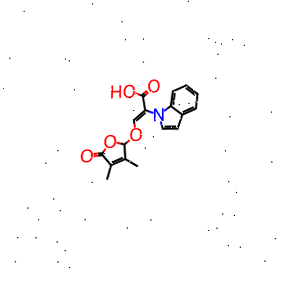 CC1=C(C)C(O/C=C(/C(=O)O)n2ccc3ccccc32)OC1=O